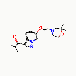 CC(C)C(=O)c1cnn2cc(OCCN3CCOC(C)(C)C3)ccc12